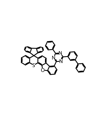 c1ccc(-c2cccc(-c3nc(-c4ccccc4)nc(-c4cccc5oc6c7c(ccc6c45)C4(c5ccccc5S7)c5ccccc5-c5ccccc54)n3)c2)cc1